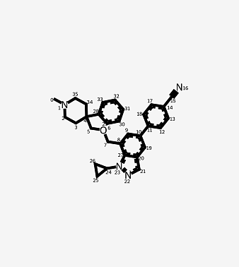 CN1CCC(COCc2cc(-c3ccc(C#N)cc3)cc3cnn(C4CC4)c23)(c2ccccc2)CC1